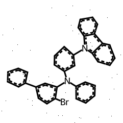 Brc1ccc(-c2ccccc2)cc1N(c1ccccc1)c1cccc(-n2c3ccccc3c3ccccc32)c1